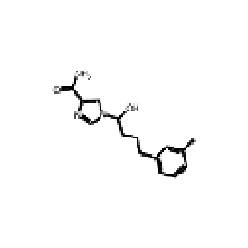 Cc1cccc(CCCC(O)n2cnc(C(N)=O)c2)c1